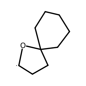 [CH]1CCC2(CCCCC2)O1